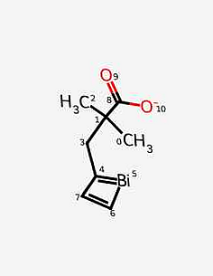 CC(C)(C[C]1=[Bi][CH]=C1)C(=O)[O-]